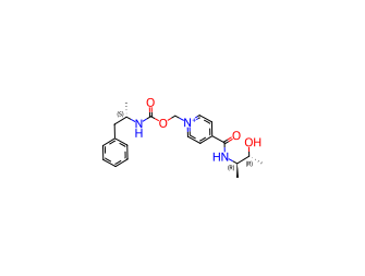 C[C@@H](Cc1ccccc1)NC(=O)OC[n+]1ccc(C(=O)N[C@H](C)[C@@H](C)O)cc1